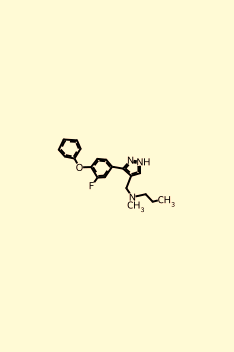 CCCN(C)Cc1c[nH]nc1-c1ccc(Oc2ccccc2)c(F)c1